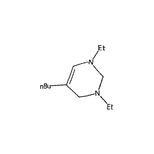 CCCCC1=CN(CC)CN(CC)C1